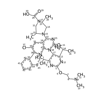 CC(C)c1nc(OCCN(C)C)nc(C(C)C)c1-n1c(=O)nc(N2CC(C)N(C(=O)O)CC2C)c2cc(Cl)c(-c3ccccc3F)nc21